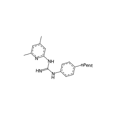 CCCCCc1ccc(NC(=N)Nc2cc(C)cc(C)n2)cc1